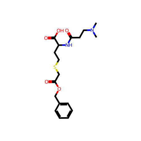 CN(C)CCC(=O)NC(CCSCC(=O)OCc1ccccc1)C(=O)O